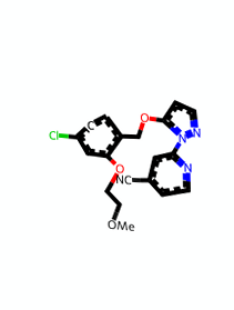 COCCOc1cc(Cl)ccc1COc1ccnn1-c1cc(C#N)ccn1